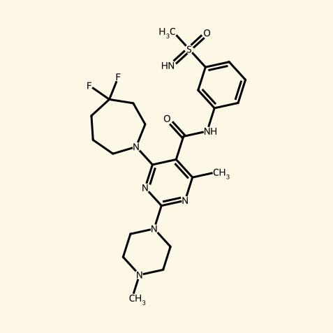 Cc1nc(N2CCN(C)CC2)nc(N2CCCC(F)(F)CC2)c1C(=O)Nc1cccc(S(C)(=N)=O)c1